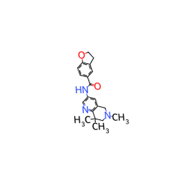 CN1Cc2cc(NC(=O)c3ccc4c(c3)CCO4)cnc2C(C)(C)C1